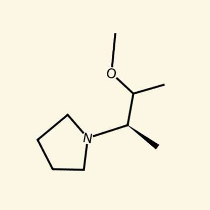 COC(C)[C@@H](C)N1CCCC1